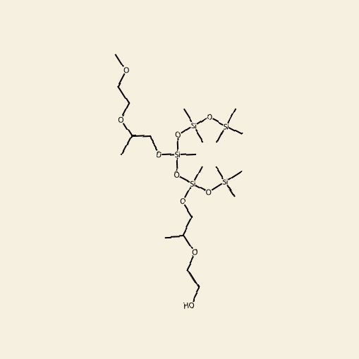 COCCOC(C)CO[Si](C)(O[Si](C)(C)O[Si](C)(C)C)O[Si](C)(OCC(C)OCCO)O[Si](C)(C)C